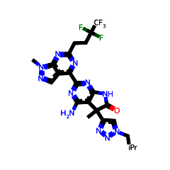 CC(C)Cn1cc(C2(C)C(=O)Nc3nc(-c4nc(CCC(F)(F)C(F)(F)F)nc5c4cnn5C)nc(N)c32)nn1